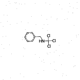 ClC(Cl)(Cl)NCc1ccccc1